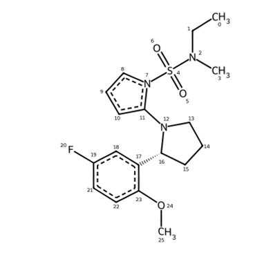 CCN(C)S(=O)(=O)n1cccc1N1CCC[C@@H]1c1cc(F)ccc1OC